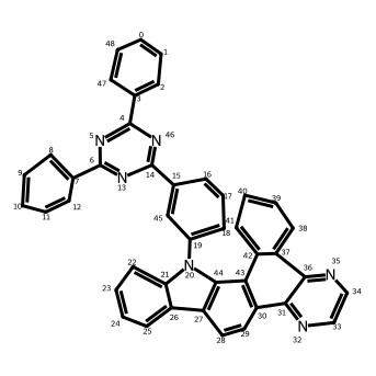 c1ccc(-c2nc(-c3ccccc3)nc(-c3cccc(-n4c5ccccc5c5ccc6c7nccnc7c7ccccc7c6c54)c3)n2)cc1